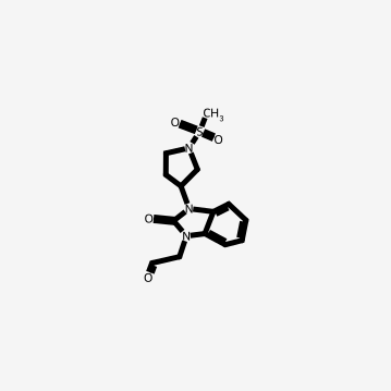 CS(=O)(=O)N1CCC(n2c(=O)n(CC=O)c3ccccc32)C1